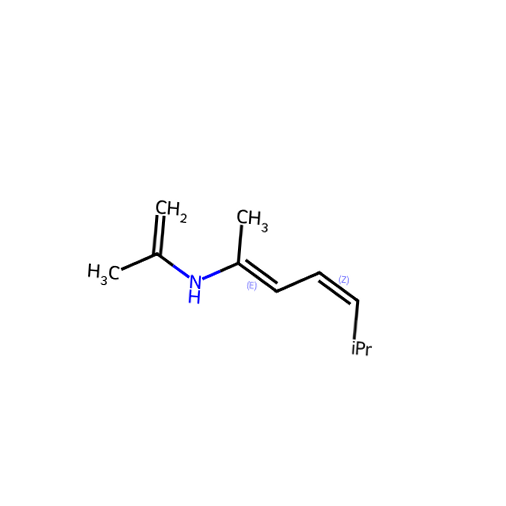 C=C(C)N/C(C)=C/C=C\C(C)C